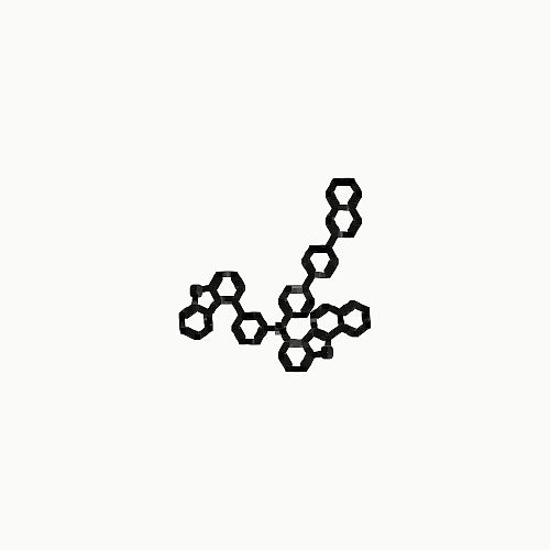 c1cc(-c2cccc3oc4ccccc4c23)cc(N(c2ccc(-c3ccc(-c4ccc5ccccc5c4)cc3)cc2)c2cccc3oc4c5ccccc5ccc4c23)c1